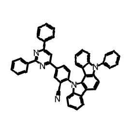 N#Cc1cc(-c2cc(-c3ccccc3)nc(-c3ccccc3)n2)ccc1-n1c2ccccc2c2ccc3c(c4ccccc4n3-c3ccccc3)c21